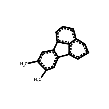 Cc1cc2c(cc1C)-c1cccc3cccc-2c13